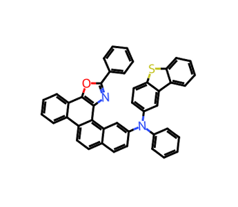 c1ccc(-c2nc3c(o2)c2ccccc2c2ccc4ccc(N(c5ccccc5)c5ccc6sc7ccccc7c6c5)cc4c23)cc1